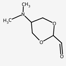 CN(C)C1COC(C=O)OC1